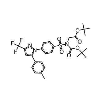 Cc1ccc(-c2cc(C(F)(F)F)nn2-c2ccc(S(=O)(=O)N(CC(=O)OC(C)(C)C)C(=O)OC(C)(C)C)cc2)cc1